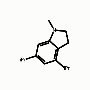 CC(C)c1cc(C(C)C)c2c(c1)N(C)CC2